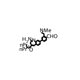 CCCN(CCC)C(=O)C1=Cc2ccc(-c3ccc(C=O)c(CCNC)c3)cc2N=C(N)C1